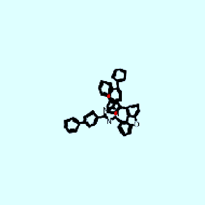 c1ccc(-c2ccc(-c3nc(-c4ccc(-c5ccccc5)cc4)nc(-c4cccc5oc6cccc(-c7cccc(-c8ccccc8)c7)c6c45)n3)cc2)cc1